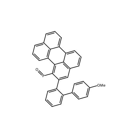 COc1ccc(-c2ccccc2-c2cc3cccc4c5cccc6cccc(c(c2P=O)c34)c65)cc1